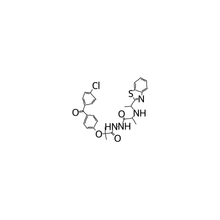 CC(NC(C)c1nc2ccccc2s1)C(=O)NNC(=O)C(C)(C)Oc1ccc(C(=O)c2ccc(Cl)cc2)cc1